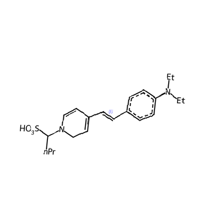 CCCC(N1C=CC(/C=C/c2ccc(N(CC)CC)cc2)=CC1)S(=O)(=O)O